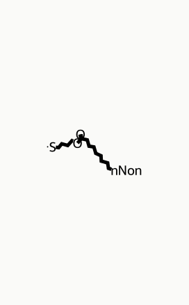 CCCCCCCCCCCCCCCCCC(=O)OCCCC[S]